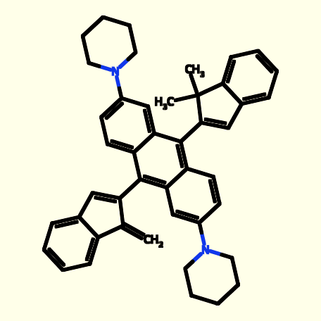 C=C1C(c2c3cc(N4CCCCC4)ccc3c(C3=Cc4ccccc4C3(C)C)c3cc(N4CCCCC4)ccc23)=Cc2ccccc21